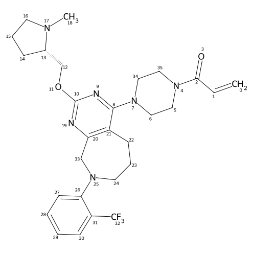 C=CC(=O)N1CCN(c2nc(OC[C@@H]3CCCN3C)nc3c2CCCN(c2ccccc2C(F)(F)F)C3)CC1